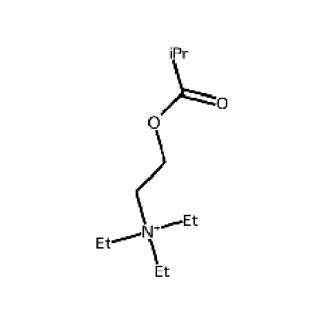 CC[N+](CC)(CC)CCOC(=O)C(C)C